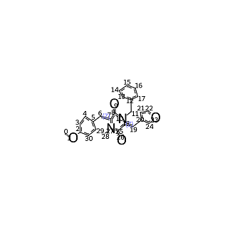 COc1ccc(/C=c2/c(=O)n(Cc3ccccc3)/c(=C\c3ccoc3)c(=O)n2C)cc1